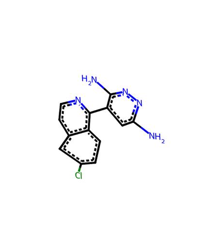 Nc1cc(-c2nccc3cc(Cl)ccc23)c(N)nn1